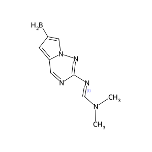 Bc1cc2cnc(/N=C/N(C)C)nn2c1